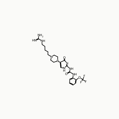 N=C(N)NCCCCCN1CCN(c2c[nH]c(NC(=O)Nc3ccccc3OC(F)(F)F)nc2=O)CC1